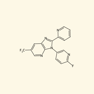 Fc1ccc(-n2c(-c3ccccn3)nc3cc(C(F)(F)F)cnc32)cn1